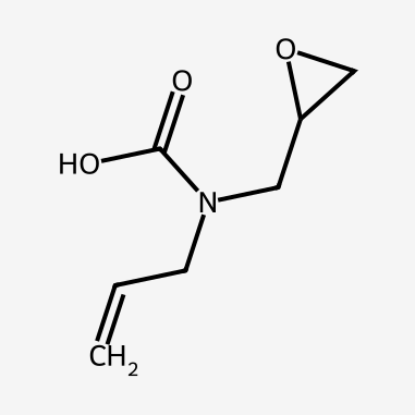 C=CCN(CC1CO1)C(=O)O